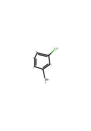 C[C](C)c1cccc(Cl)c1